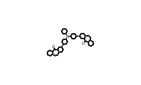 O=c1c2ccccc2ccc2ccc(-c3ccc(N(c4ccccc4)c4ccc(-c5ccc6ccc7ccccc7c(=O)c6c5)cc4)cc3)cc12